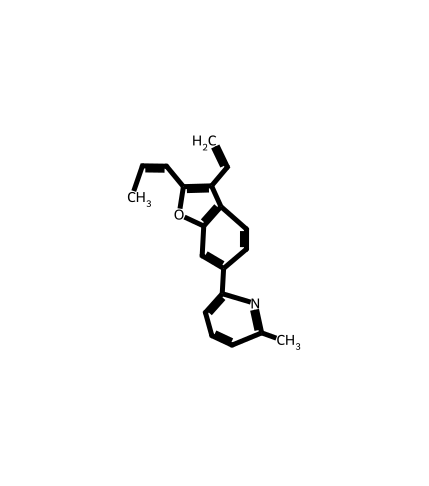 C=Cc1c(/C=C\C)oc2cc(-c3cccc(C)n3)ccc12